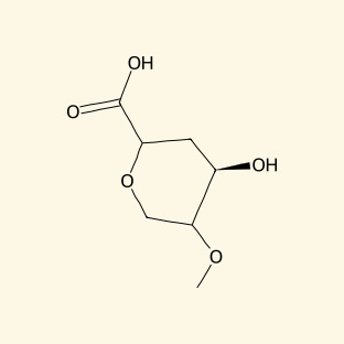 COC1COC(C(=O)O)C[C@H]1O